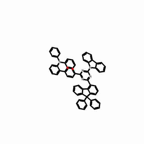 c1ccc(N(c2ccccc2)c2ccccc2-c2ccc(-c3nc(-c4cccc5c4-c4ccccc4C5(c4ccccc4)c4ccccc4)nc(-n4c5ccccc5c5ccccc54)n3)cc2)cc1